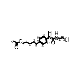 CC(=O)OCCCCCc1ccc(NC(=O)NCCCl)cc1